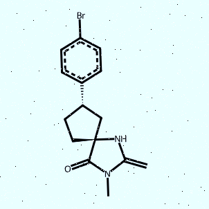 C=C1N[C@]2(CC[C@H](c3ccc(Br)cc3)C2)C(=O)N1C